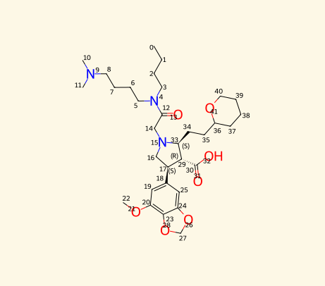 CCCCN(CCCCN(C)C)C(=O)CN1C[C@H](c2cc(OC)c3c(c2)OCO3)[C@@H](C(=O)O)[C@@H]1CCC1CCCCO1